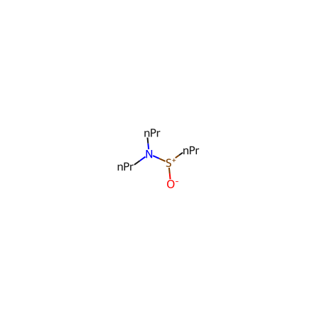 [CH2]CC[S+]([O-])N(CCC)CCC